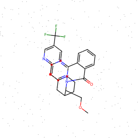 COCC1C2CCC(C(Oc3ccc(C(F)(F)F)cn3)C2)N1C(=O)c1ccccc1-c1ncccn1